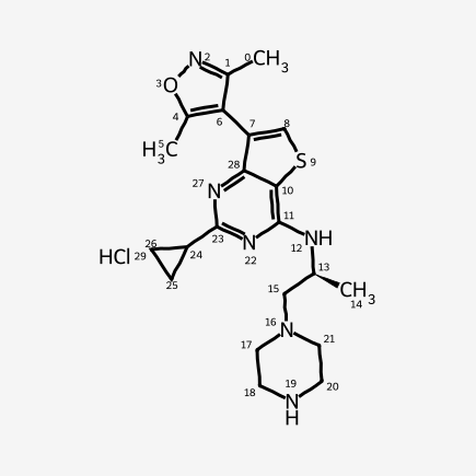 Cc1noc(C)c1-c1csc2c(N[C@@H](C)CN3CCNCC3)nc(C3CC3)nc12.Cl